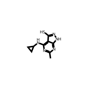 Cc1nc(NC2CC2)c2c(S)n[nH]c2n1